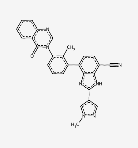 Cc1c(-c2ccc(C#N)c3[nH]c(-c4cnn(C)c4)nc23)cccc1-n1cnc2ccccc2c1=O